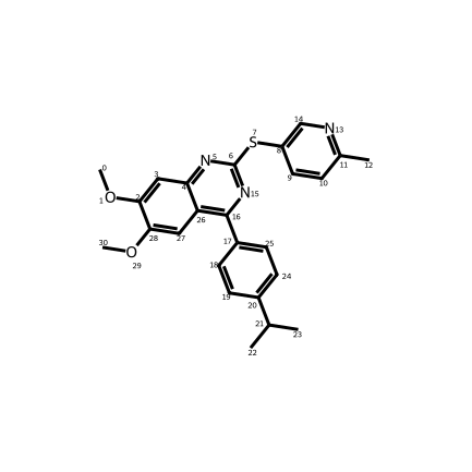 COc1cc2nc(Sc3ccc(C)nc3)nc(-c3ccc(C(C)C)cc3)c2cc1OC